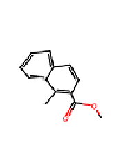 [CH2]c1c(C(=O)OC)ccc2ccccc12